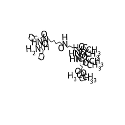 CC(C)(C)OC(=O)CC[C@H](NC(=O)NC(CCCCNC(=O)CCCCCNC(=O)[C@@H](Cc1ccccc1)NC(=O)C(N)Cc1ccccc1)C(=O)OC(C)(C)C)C(=O)OC(C)(C)C